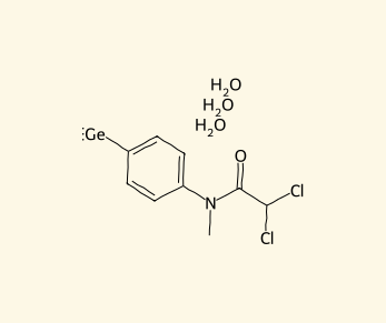 CN(C(=O)C(Cl)Cl)c1cc[c]([Ge])cc1.O.O.O